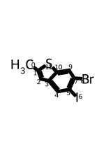 Cc1cc2cc(I)c(Br)cc2s1